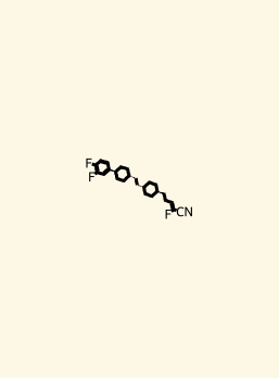 N#CC(F)=CCC[C@H]1CC[C@H](CC[C@H]2CC[C@H](c3ccc(F)c(F)c3)CC2)CC1